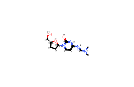 CN(C)/C=N/c1ccn([C@H]2CC[C@@H](CO)O2)c(=O)n1